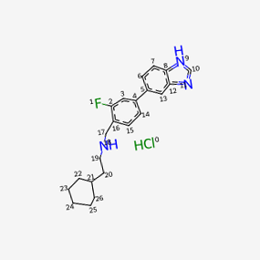 Cl.Fc1cc(-c2ccc3[nH]cnc3c2)ccc1CNCCC1CCCCC1